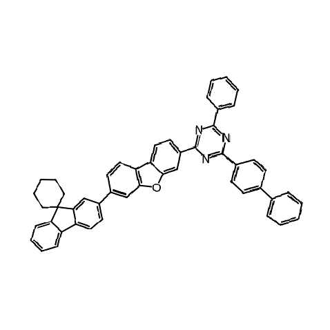 c1ccc(-c2ccc(-c3nc(-c4ccccc4)nc(-c4ccc5c(c4)oc4cc(-c6ccc7c(c6)C6(CCCCC6)c6ccccc6-7)ccc45)n3)cc2)cc1